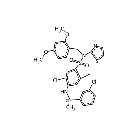 COc1ccc(CN(c2nccs2)S(=O)(=O)c2cc(Cl)c(N[C@@H](C)c3cccc(Cl)c3)cc2F)c(OC)c1